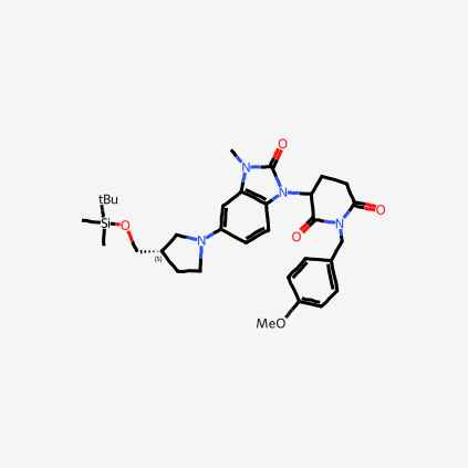 COc1ccc(CN2C(=O)CCC(n3c(=O)n(C)c4cc(N5CC[C@H](CO[Si](C)(C)C(C)(C)C)C5)ccc43)C2=O)cc1